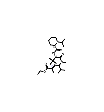 CCOC(=O)/C(C)=C/C(C(C)C)N(C)C(=O)[C@H](NC(=O)[C@H]1CCCCN1C(C)C)C(C)(C)C